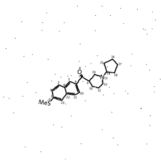 CSc1ccc2cc(C(=O)C3CCCN(C4CCCC4)C3)ccc2c1